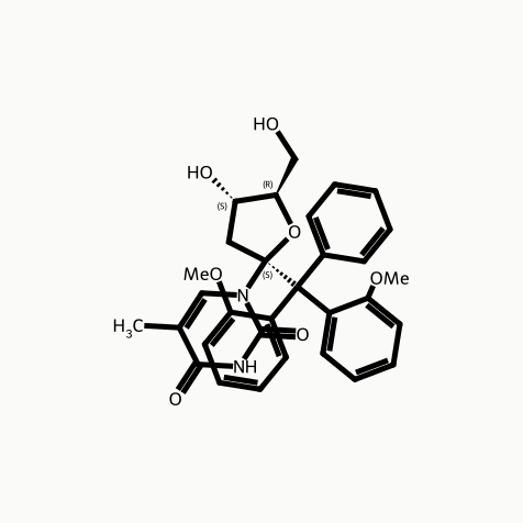 COc1ccccc1C(c1ccccc1)(c1ccccc1OC)[C@]1(n2cc(C)c(=O)[nH]c2=O)C[C@H](O)[C@@H](CO)O1